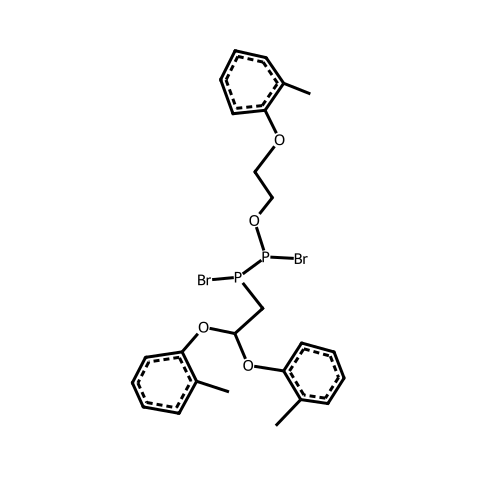 Cc1ccccc1OCCOP(Br)P(Br)CC(Oc1ccccc1C)Oc1ccccc1C